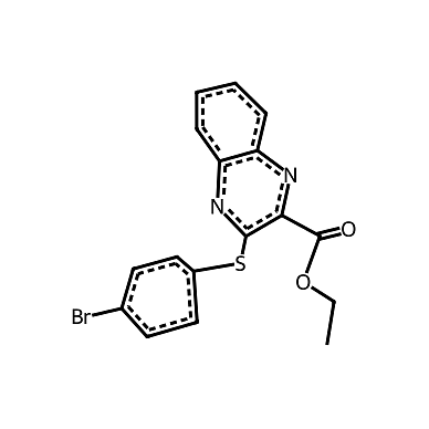 CCOC(=O)c1nc2ccccc2nc1Sc1ccc(Br)cc1